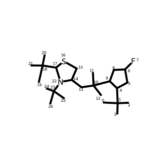 CC(C)(C)C1CC(F)CC1C(C)(C)CC1CSC(C(C)(C)C)N1C(C)(C)C